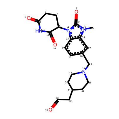 Cn1c(=O)n(C2CCC(=O)NC2=O)c2ccc(CN3CCC(CC=O)CC3)cc21